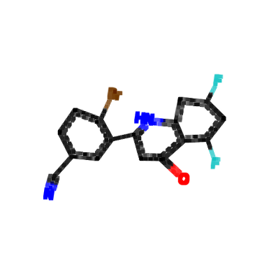 N#Cc1ccc(Br)c(-c2cc(=O)c3c(F)cc(F)cc3[nH]2)c1